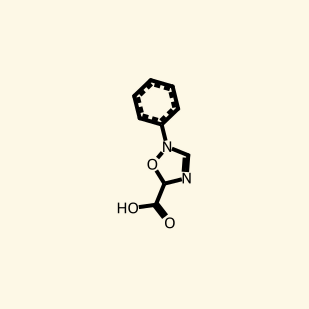 O=C(O)C1N=CN(c2ccccc2)O1